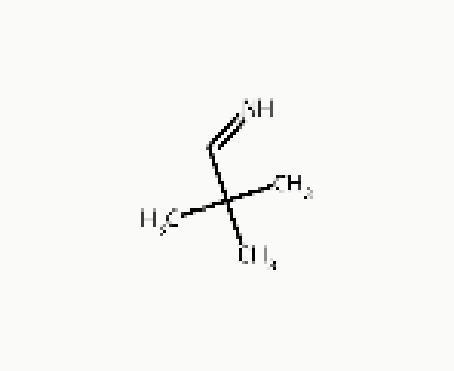 CC(C)(C)[C]=N